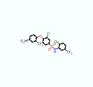 O=[N+]([O-])c1ccc(Oc2ccc(S(=O)(=O)Nc3cc(C(F)(F)F)ccc3Cl)cc2Cl)c(C(F)(F)F)c1